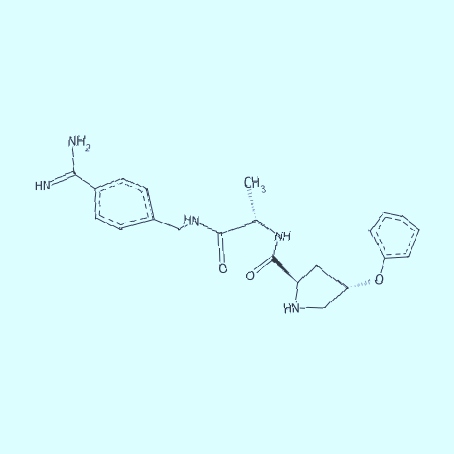 C[C@H](NC(=O)[C@H]1C[C@H](Oc2ccccc2)CN1)C(=O)NCc1ccc(C(=N)N)cc1